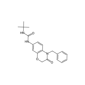 CC(C)(C)NC(=O)Nc1ccc2c(c1)OCC(=O)N2Cc1ccccc1